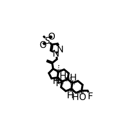 C=C(Cn1cc(S(C)(=O)=O)cn1)C1CC[C@H]2[C@@H]3CC[C@@H]4C[C@@](O)(CF)CC[C@@H]4[C@H]3CC[C@]12C